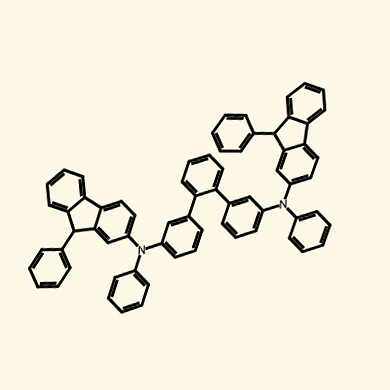 c1ccc(C2c3ccccc3-c3ccc(N(c4ccccc4)c4cccc(-c5ccccc5-c5cccc(N(c6ccccc6)c6ccc7c(c6)C(c6ccccc6)c6ccccc6-7)c5)c4)cc32)cc1